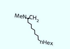 C=C(CCCCCCCCCCCCC)NC